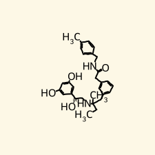 CCC(C)(Cc1cccc(CC(=O)NCc2ccc(C)cc2)c1)NC[C@H](O)c1cc(O)cc(O)c1